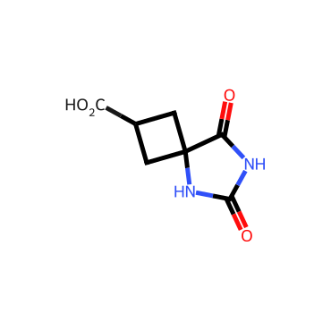 O=C1NC(=O)C2(CC(C(=O)O)C2)N1